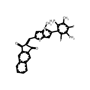 Cc1c(F)c(P)c(F)c(-c2cc3sc(C=C4C(=O)c5cc6ccccc6cc5C4=O)cc3n2C)c1P